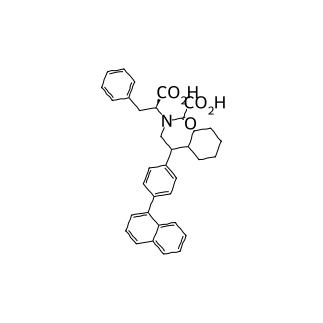 O=C(O)C(=O)N(CC(c1ccc(-c2cccc3ccccc23)cc1)C1CCCCC1)[C@@H](Cc1ccccc1)C(=O)O